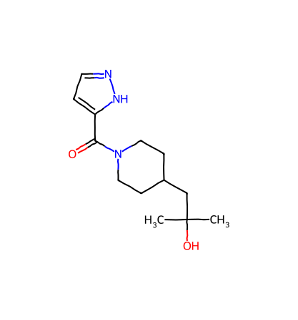 CC(C)(O)CC1CCN(C(=O)c2ccn[nH]2)CC1